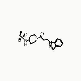 C=CS(=O)(=O)NC1CCN(C(=O)CCn2ncc3ccccc32)CC1